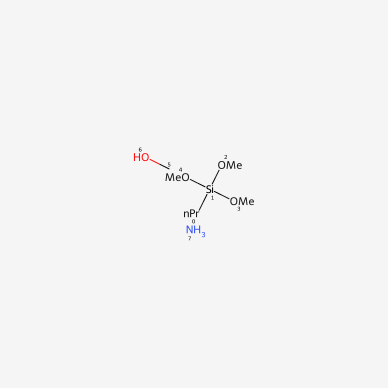 CCC[Si](OC)(OC)OC.CO.N